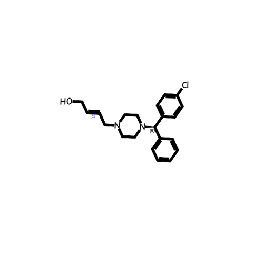 OC/C=C/CN1CCN([C@H](c2ccccc2)c2ccc(Cl)cc2)CC1